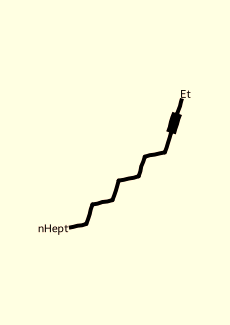 [CH2]CC#CCCCCCCCCCCCCCC